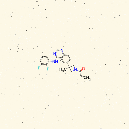 C=CC(=O)N1CC(C)(c2ccc3ncnc(Nc4cccc(F)c4F)c3c2)C1